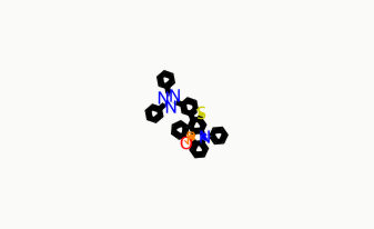 O=P1(c2ccccc2)c2ccccc2N(c2ccccc2)c2cc3sc4ccc(-c5nc(-c6ccccc6)nc(-c6ccccc6)n5)cc4c3cc21